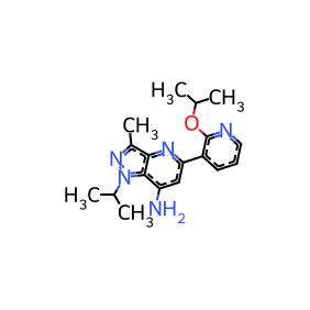 Cc1nn(C(C)C)c2c(N)cc(-c3cccnc3OC(C)C)nc12